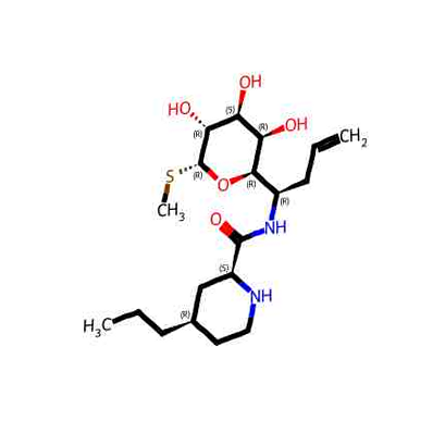 C=CC[C@@H](NC(=O)[C@@H]1C[C@H](CCC)CCN1)[C@H]1O[C@H](SC)[C@H](O)[C@@H](O)[C@H]1O